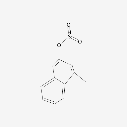 Cc1cc(O[SH](=O)=O)cc2ccccc12